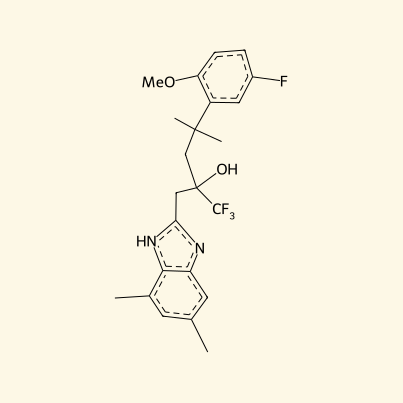 COc1ccc(F)cc1C(C)(C)CC(O)(Cc1nc2cc(C)cc(C)c2[nH]1)C(F)(F)F